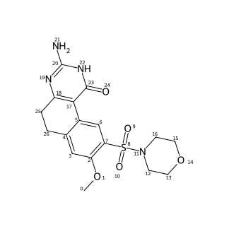 COc1cc2c(cc1S(=O)(=O)N1CCOCC1)-c1c(nc(N)[nH]c1=O)CC2